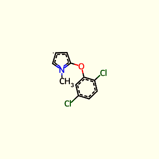 Cn1c[c]cc1Oc1cc(Cl)ccc1Cl